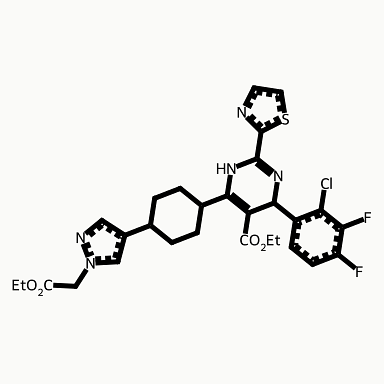 CCOC(=O)Cn1cc(C2CCC(C3=C(C(=O)OCC)C(c4ccc(F)c(F)c4Cl)N=C(c4nccs4)N3)CC2)cn1